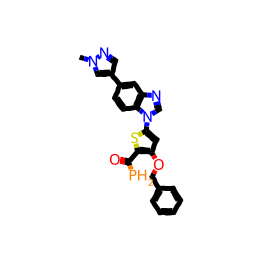 Cn1cc(-c2ccc3c(c2)ncn3-c2cc(OCc3ccccc3)c(C(=O)P)s2)cn1